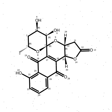 C[C@@H]1C[C@@H](O)[C@@H](O)[C@]2(O1)O[C@@H]1CC(=O)O[C@@H]1C1=C2C(=O)c2c(O)cccc2C1=O